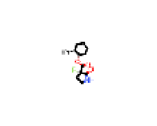 CC(C)[C@H]1CCCC[C@@H]1OC(=O)[C@]1(F)CCNC1=O